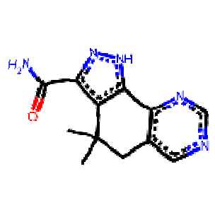 CC1(C)Cc2cncnc2-c2[nH]nc(C(N)=O)c21